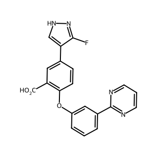 O=C(O)c1cc(-c2c[nH]nc2F)ccc1Oc1cccc(-c2ncccn2)c1